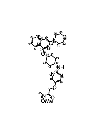 CON(C)C(=O)COc1cnc(N[C@H]2CC[C@@H](Oc3nc(N4CCOCC4)cc4ncccc34)CC2)nc1